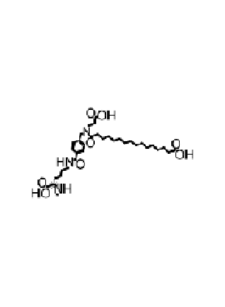 CN[C@@H](CCCCNC(=O)c1ccc(CN(CCC(=O)O)C(=O)CCCCCCCCCCCCCCC(=O)O)cc1)C(=O)O